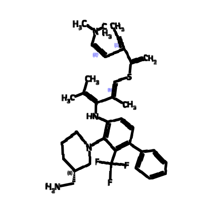 C=C(S/C=C(\C)C(Nc1ccc(-c2ccccc2)c(C(F)(F)F)c1N1CCC[C@@H](CN)C1)=C(C)C)C(/C=C\N(C)C)=C/C